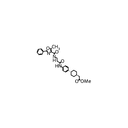 COC(=O)C[C@H]1CC[C@H](c2ccc(NC(=O)CCNC(=O)c3nc(-c4ccccc4)oc3C)cc2)CC1